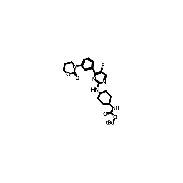 CC(C)(C)OC(=O)N[C@H]1CC[C@H](Nc2ncc(F)c(-c3cccc(N4CCCOC4=O)c3)n2)CC1